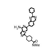 CNC(=O)C1CCC(c2ncc3c(N)nc(-c4ccc5cnc(-c6ccccc6)nc5c4)cn23)CC1